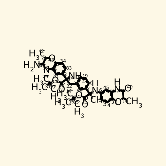 CC1Oc2ccc(NC(C)(C(=O)OC(C)(C)C)c3cccc(CC(N)(C(=O)OC(C)(C)C)c4ccc5c(c4)N=C(N)C(C)O5)c3)cc2NC1=O